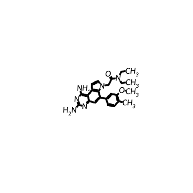 CCN(CC)C(=O)Cn1ccc2c3c(N)nc(N)nc3cc(-c3ccc(C)c(OC)c3)c21